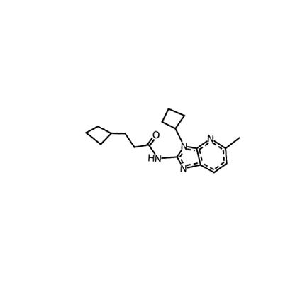 Cc1ccc2nc(NC(=O)CCC3CCC3)n(C3CCC3)c2n1